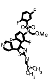 COCN(c1ccc(F)c(-c2nc(/N=C/N(C)C)sc2-c2ccncc2)c1F)S(=O)(=O)c1cc(F)ccc1F